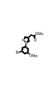 COC(=O)Cc1cnn(-c2cc(Br)cc(OC)c2)c1